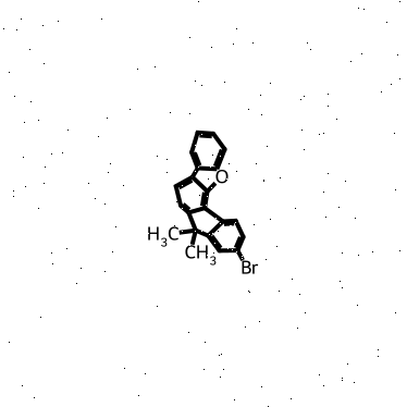 CC1(C)c2cc(Br)ccc2-c2c1ccc1c2oc2ccccc21